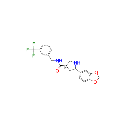 O=C(NCc1cccc(C(F)(F)F)c1)[C@H]1CNC(c2ccc3c(c2)OCO3)C1